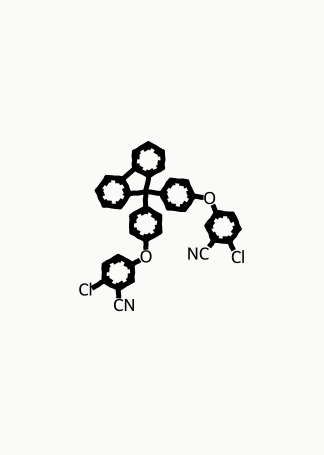 N#Cc1cc(Oc2ccc(C3(c4ccc(Oc5ccc(Cl)c(C#N)c5)cc4)c4ccccc4-c4ccccc43)cc2)ccc1Cl